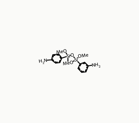 CO[Si](C)(O[Si](OC)(OC)c1cccc(N)c1)c1ccc(N)cc1